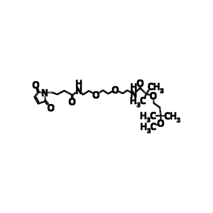 COC(C)(C)CCOC(C)(C)C(=O)NCCOCCOCCNC(=O)CCCN1C(=O)C=CC1=O